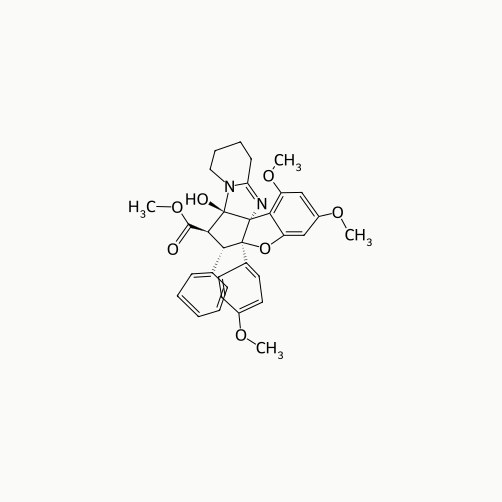 COC(=O)[C@@H]1[C@@H](c2ccccc2)[C@]2(c3ccc(OC)cc3)Oc3cc(OC)cc(OC)c3[C@@]23N=C2CCCCN2[C@@]13O